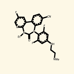 CCN1C(=O)N(c2c(F)cc(NCCNC)cc2F)c2cc(C#N)ccc2-c2cc(F)cnc21